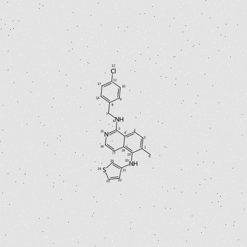 Cc1ccc2c(NCc3ccc(Cl)cc3)nccc2c1Nc1ccsc1